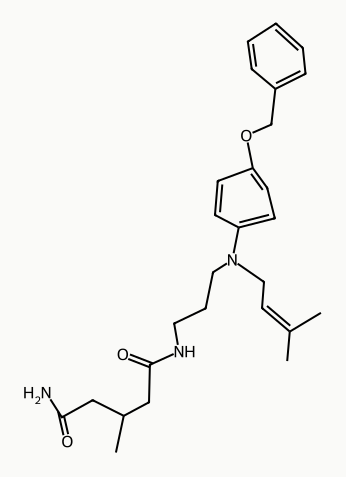 CC(C)=CCN(CCCNC(=O)CC(C)CC(N)=O)c1ccc(OCc2ccccc2)cc1